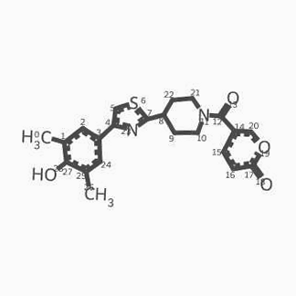 Cc1cc(-c2csc(C3CCN(C(=O)c4ccc(=O)oc4)CC3)n2)cc(C)c1O